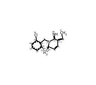 C/C=C1/C=CC(=O)N(Cc2c(C)cccc2Cl)C1=N